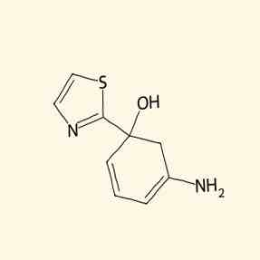 NC1=CC=CC(O)(c2nccs2)C1